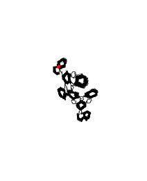 c1ccc2c(c1)CCCN2c1cc2c3c(c1)Oc1c(cc4c5c1c1ccccc1n5-c1cc(N5CCCc6ccccc65)cc5c1B4c1ccccc1O5)B3c1ccccc1O2